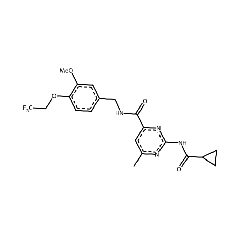 COc1cc(CNC(=O)c2cc(C)nc(NC(=O)C3CC3)n2)ccc1OCC(F)(F)F